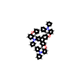 c1ccc(N2c3ccccc3B3c4cc5c(cc4Oc4cccc2c43)c2cc3c(cc2c2cc4c(cc52)B2c5ccccc5Oc5cccc(c52)N4c2ccccc2)B2c4ccccc4N(c4ccccc4)c4cccc(c42)O3)cc1